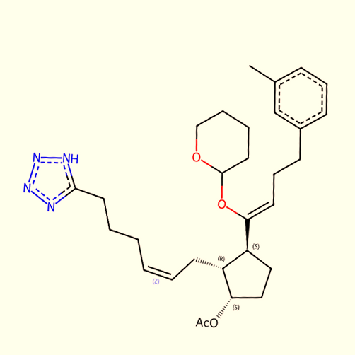 CC(=O)O[C@H]1CC[C@H](C(=CCCc2cccc(C)c2)OC2CCCCO2)[C@H]1C/C=C\CCCc1nnn[nH]1